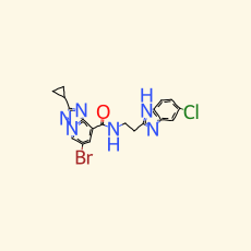 O=C(NCCc1nc2cc(Cl)ccc2[nH]1)c1cc(Br)cn2nc(C3CC3)nc12